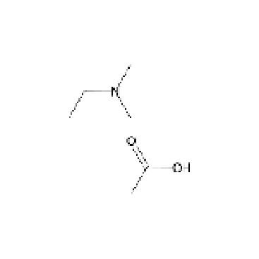 CC(=O)O.CCN(C)C